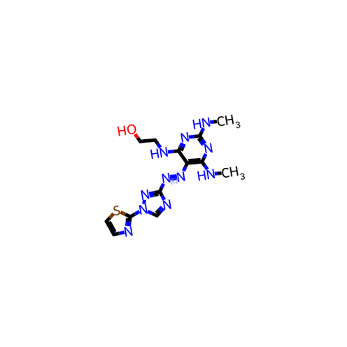 CNc1nc(NC)c(/N=N/c2ncn(-c3nccs3)n2)c(NCCO)n1